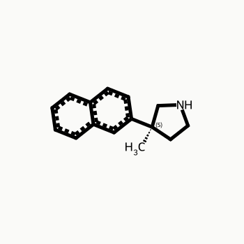 C[C@@]1(c2ccc3ccccc3c2)CCNC1